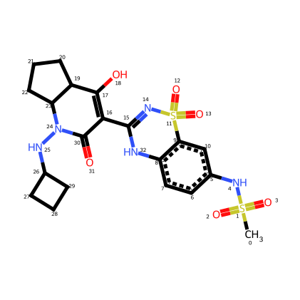 CS(=O)(=O)Nc1ccc2c(c1)S(=O)(=O)N=C(C1=C(O)C3CCCC3N(NC3CCC3)C1=O)N2